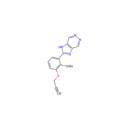 C#CCOc1cccc(-c2nc3cnncc3[nH]2)c1OC